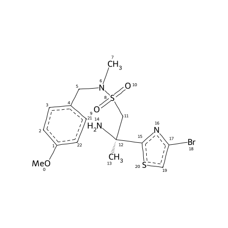 COc1ccc(CN(C)S(=O)(=O)C[C@](C)(N)c2nc(Br)cs2)cc1